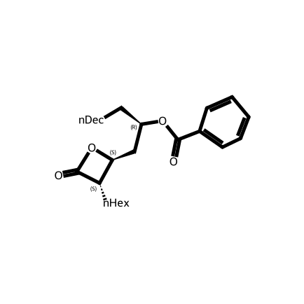 CCCCCCCCCCC[C@H](C[C@@H]1OC(=O)[C@H]1CCCCCC)OC(=O)c1ccccc1